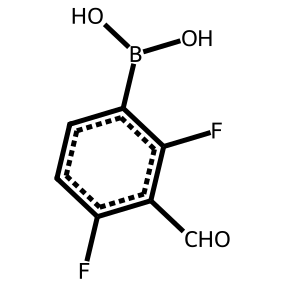 O=Cc1c(F)ccc(B(O)O)c1F